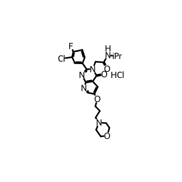 CC(C)NC(=O)Cn1c(-c2ccc(F)c(Cl)c2)nc2ncc(OCCCN3CCOCC3)cc2c1=O.Cl